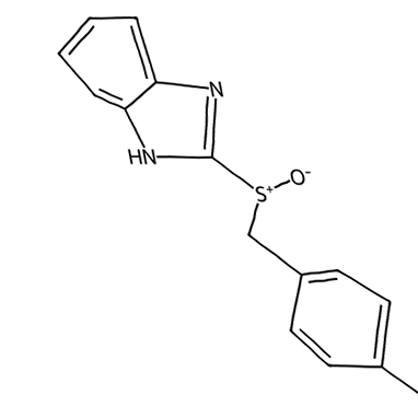 [O-][S+](Cc1ccc(F)cc1)c1nc2ccccc2[nH]1